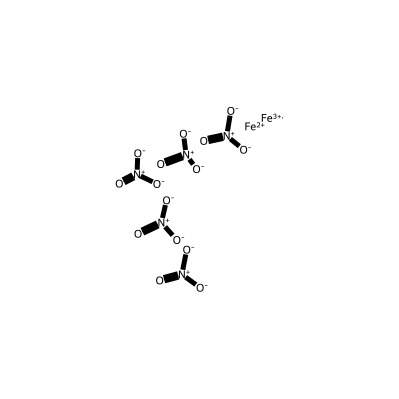 O=[N+]([O-])[O-].O=[N+]([O-])[O-].O=[N+]([O-])[O-].O=[N+]([O-])[O-].O=[N+]([O-])[O-].[Fe+2].[Fe+3]